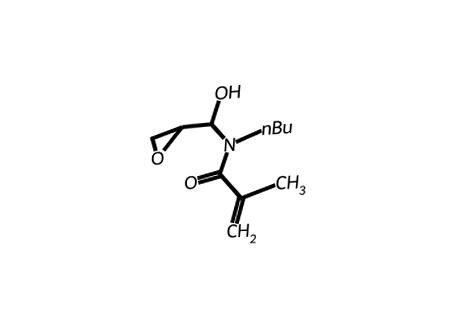 C=C(C)C(=O)N(CCCC)C(O)C1CO1